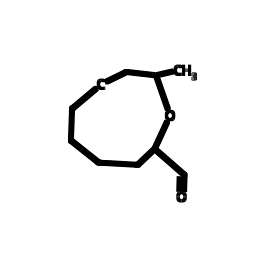 CC1CCCCCCC(C=O)O1